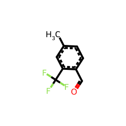 Cc1ccc(C=O)c(C(F)(F)F)c1